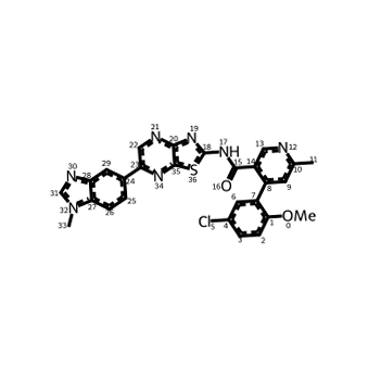 COc1ccc(Cl)cc1-c1cc(C)ncc1C(=O)Nc1nc2ncc(-c3ccc4c(c3)ncn4C)nc2s1